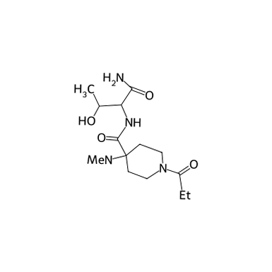 CCC(=O)N1CCC(NC)(C(=O)NC(C(N)=O)C(C)O)CC1